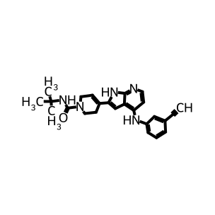 C#Cc1cccc(Nc2ccnc3[nH]c(C4=CCN(C(=O)NC(C)(C)C)CC4)cc23)c1